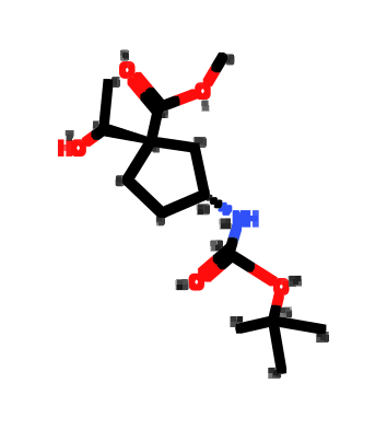 COC(=O)[C@@]1(C(C)O)CC[C@@H](NC(=O)OC(C)(C)C)C1